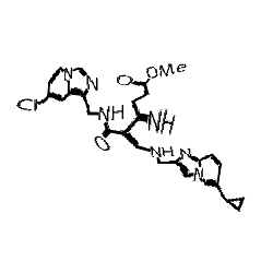 COC(=O)CCC(=N)/C(=C\NCc1cn2cc(C3CC3)ccc2n1)C(=O)NCc1ncn2ccc(Cl)cc12